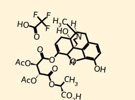 CC(=O)O[C@@H](C(=O)OC1=CC[C@@]2(O)[C@H]3Cc4ccc(O)c5c4[C@@]2(CCN3C)[C@H]1O5)[C@@H](OC(C)=O)C(=O)O[C@@H](C)C(=O)O.O=C(O)C(F)(F)F